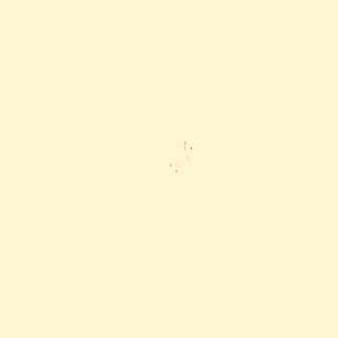 CCCCC[C@H](C)c1nc(CC23CC4CC(CC(C4)C2)C3)no1